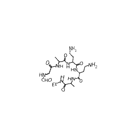 CCNC(=O)C(C)NC(=O)C(CCN)NC(=O)C(CCN)NC(=O)C(C)NC(=O)CNC=O